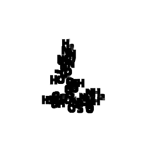 C=C1C(O)[C@@H](COP(=O)(S)OC2C[C@H](n3c(=O)sc4c(=O)[nH]c(N)nc43)O[C@@H]2COP(=O)(O)S)O[C@H]1n1cnc2c(N)ncnc21